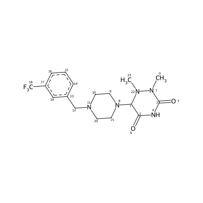 CN1C(=O)NC(=O)C(N2CCN(Cc3cccc(C(F)(F)F)c3)CC2)N1C